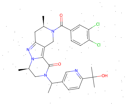 CC(c1ccc(C(C)(C)O)nc1)N1C[C@@H](C)n2nc3c(c2C1=O)CN(C(=O)c1ccc(Cl)c(Cl)c1)[C@H](C)C3